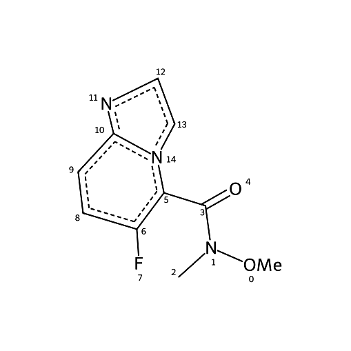 CON(C)C(=O)c1c(F)ccc2nccn12